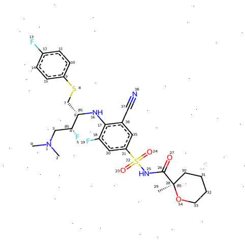 CN(C)C[C@@H](F)[C@H](CSc1ccc(F)cc1)Nc1c(F)cc(S(=O)(=O)NC(=O)[C@@]2(C)CCCCO2)cc1C#N